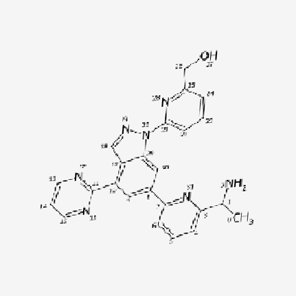 CC(N)c1cccc(-c2cc(-c3ncccn3)c3cnn(-c4cccc(CO)n4)c3c2)n1